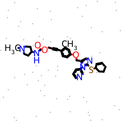 Cc1cc(OCc2cnc(SC3C=CCCC3)n2-c2cccnc2)ccc1C#CCOC(=O)NC1CCN(C)CC1